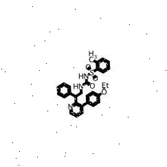 CCOc1ccc(-c2cccnc2C(CNC(=O)NS(=O)(=O)c2ccccc2C)c2ccccc2)cc1